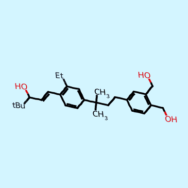 CCc1cc(C(C)(C)CCc2ccc(CO)c(CO)c2)ccc1C=CC(O)C(C)(C)C